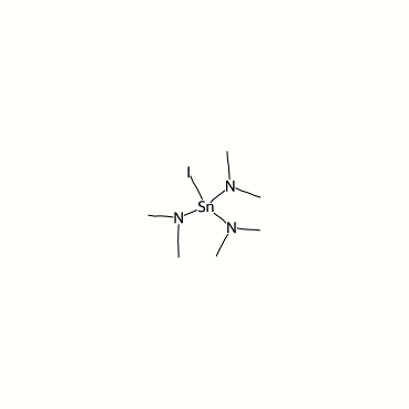 C[N](C)[Sn]([I])([N](C)C)[N](C)C